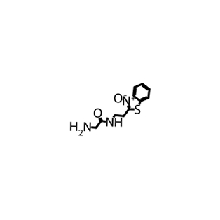 NCC(=O)NCCc1sc2ccccc2[n+]1[O-]